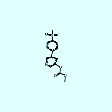 COC(=O)Oc1cncc(-c2ccc(S(C)(=O)=O)cc2)c1